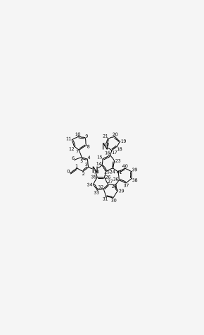 C=C/C=C(\C=C(/C)c1ccccc1)n1c2cc(-c3ccccn3)cc3c2c2c4c(cccc4ccc21)-c1ccccc1-3